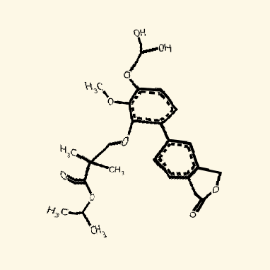 COc1c(OC(O)O)ccc(-c2ccc3c(c2)COC3=O)c1OCC(C)(C)C(=O)OC(C)C